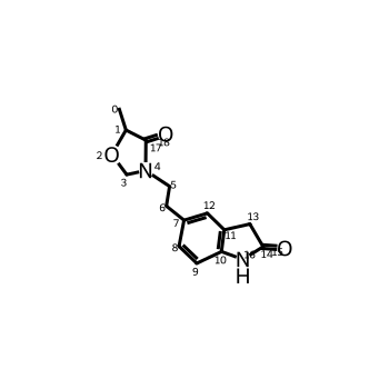 CC1OCN(CCc2ccc3c(c2)CC(=O)N3)C1=O